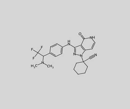 CN(C)C(c1ccc(Nc2nn(C3(C#N)CCCCC3)c3cc[nH]c(=O)c23)cc1)C(F)(F)F